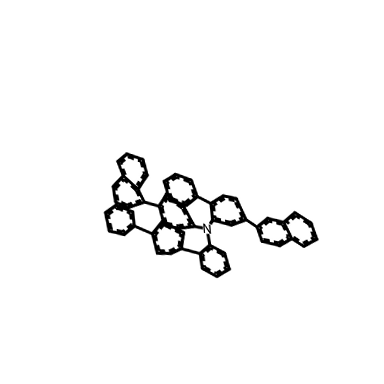 c1ccc(-c2ccc(-c3ccccc3N(c3ccc(-c4cccc5ccccc45)cc3)c3cc(-c4ccc5ccccc5c4)ccc3-c3ccccc3)cc2)cc1